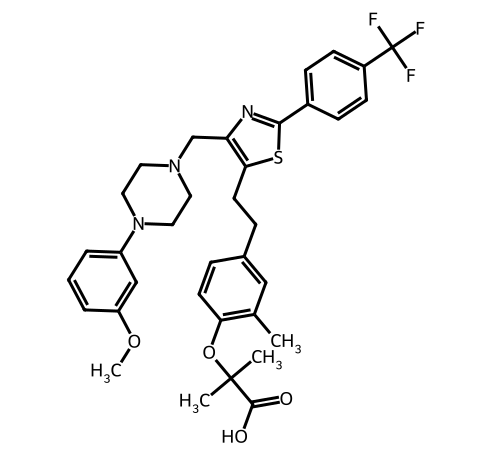 COc1cccc(N2CCN(Cc3nc(-c4ccc(C(F)(F)F)cc4)sc3CCc3ccc(OC(C)(C)C(=O)O)c(C)c3)CC2)c1